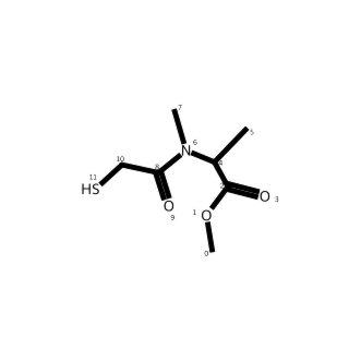 COC(=O)C(C)N(C)C(=O)CS